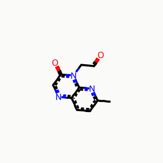 Cc1ccc2ncc(=O)n(CC=O)c2n1